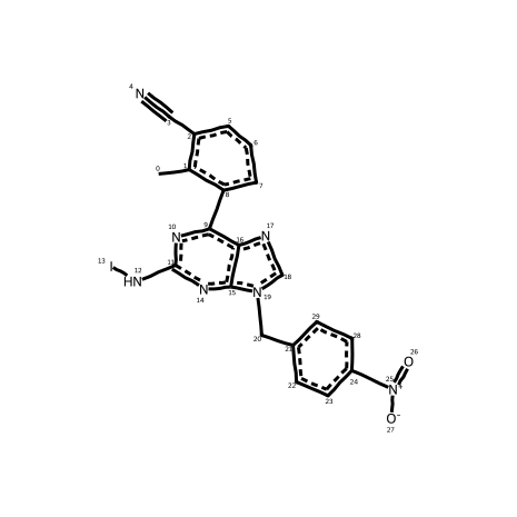 Cc1c(C#N)cccc1-c1nc(NI)nc2c1ncn2Cc1ccc([N+](=O)[O-])cc1